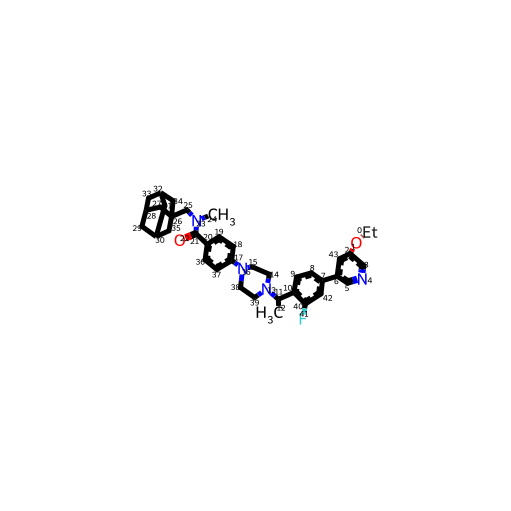 CCOc1cncc(-c2ccc(C(C)N3CCN(c4ccc(C(=O)N(C)CC56CC7CC(CC(C7)C5)C6)cc4)CC3)c(F)c2)c1